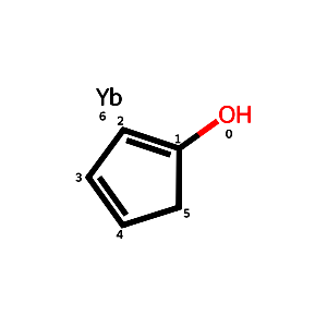 OC1=CC=CC1.[Yb]